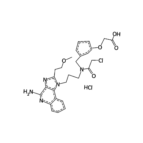 COCCc1nc2c(N)nc3ccccc3c2n1CCCN(Cc1cccc(OCC(=O)O)c1)C(=O)CCl.Cl